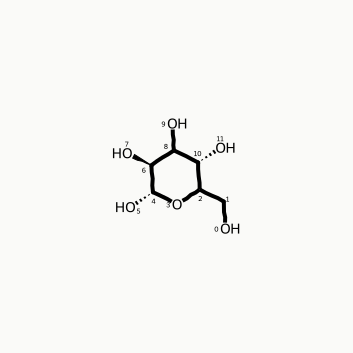 OCC1O[C@H](O)[C@@H](O)C(O)[C@@H]1O